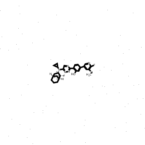 COc1cc(-c2ccc(-c3ncc(N(C4CC4)[C@H]4C[C@@H]5CCC[C@@H](C5)[C@H]4F)nn3)c(O)c2)cnc1F